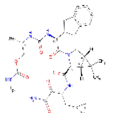 CC(C)NC(=O)OC[C@@H](NC(=O)N[C@H](C(=O)N1C[C@H]2[C@@H]([C@H]1C(=O)NC(CC1CC1)C(=O)C(N)=O)C2(C)C)C1Cc2ccccc2C1)C(C)(C)C